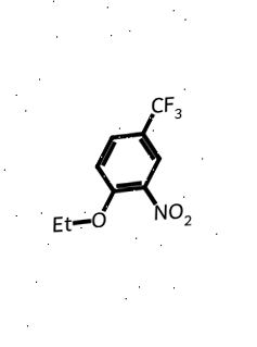 CCOc1ccc(C(F)(F)F)cc1[N+](=O)[O-]